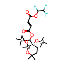 CCC(OC(=O)C=CC(=O)OC(F)C(F)F)[Si]1(O[Si](C)(C)C)CCC(C)(C)O[Si]1(C)O[Si](C)(C)C